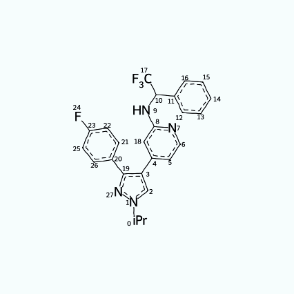 CC(C)n1cc(-c2ccnc(NC(c3ccccc3)C(F)(F)F)c2)c(-c2ccc(F)cc2)n1